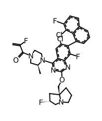 C=C(F)C(=O)N1CCN(c2nc(OC[C@@]34CCCN3C[C@H](F)C4)nc3c(F)c(-c4cccc5ccc(F)c(Cl)c45)c(Cl)cc23)[C@@H](C)C1